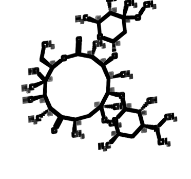 CC[C@H]1OC(=O)[C@H](C)[C@@H](O[C@H]2C[C@@](C)(OC)[C@@H](O)[C@H](C)O2)[C@H](C)[C@@H](O[C@@H]2O[C@H](C)C[C@H](N(C)C)[C@H]2O)[C@@](C)(OC)C[C@@H](C)C(=O)[C@H](C)[C@@H](O)[C@]1(C)O